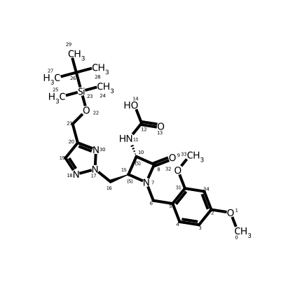 COc1ccc(CN2C(=O)[C@@H](NC(=O)O)[C@@H]2Cn2ncc(CO[Si](C)(C)C(C)(C)C)n2)c(OC)c1